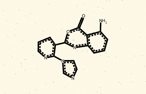 Nc1cccc2nc(-c3cccnc3-n3ccnc3)oc(=O)c12